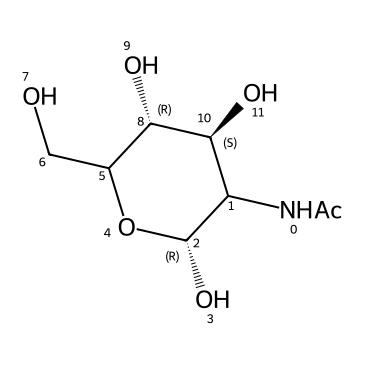 CC(=O)NC1[C@H](O)OC(CO)[C@H](O)[C@H]1O